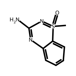 CS1(=O)=NC(N)=Nc2ccccc21